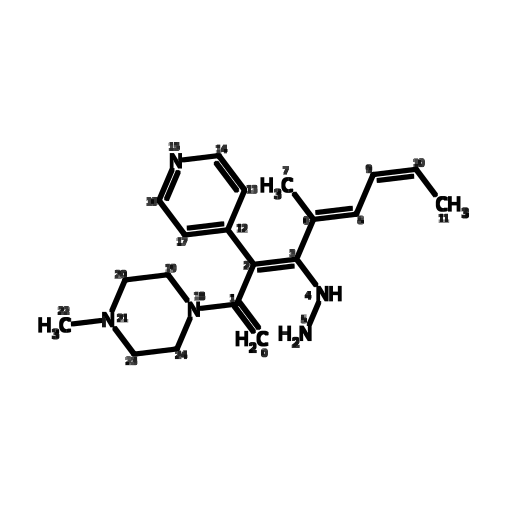 C=C(/C(=C(NN)/C(C)=C/C=C\C)c1ccncc1)N1CCN(C)CC1